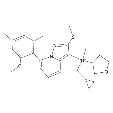 COc1cc(C)cc(C)c1-c1cccc2c([N+](C)(CC3CC3)C3CCOC3)c(SC)nn12